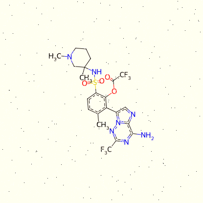 Cc1ccc(S(=O)(=O)NC2(C)CCCN(C)C2)c(OC(=O)C(F)(F)F)c1-c1cnc2c(N)nc(C(F)(F)F)nn12